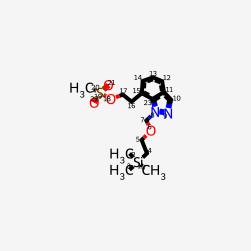 C[Si](C)(C)CCOCn1ncc2cccc(CCOS(C)(=O)=O)c21